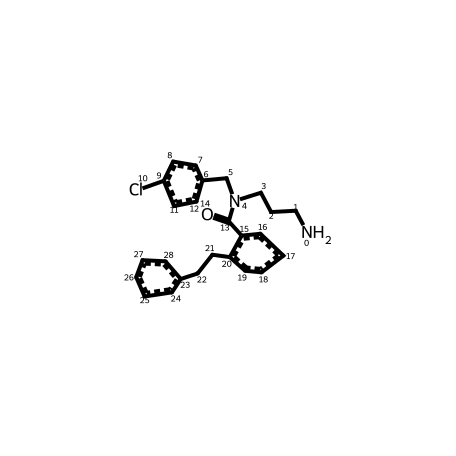 NCCCN(Cc1ccc(Cl)cc1)C(=O)c1ccccc1CCc1ccccc1